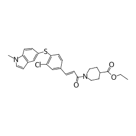 CCOC(=O)C1CCN(C(=O)/C=C/c2ccc(Sc3ccc4c(ccn4C)c3)c(Cl)c2)CC1